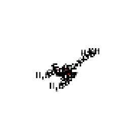 CCOc1ccc(C(=O)N2CCN(c3ccc(-c4ccccc4OCC)nc3CN(CCN(CCCOCCOCCOCCOCCNC(=O)O)S(=O)(=O)c3ccccc3[N+](=O)[O-])S(=O)(=O)c3ccccc3[N+](=O)[O-])[C@H](CC)C2)c(C(F)(F)F)c1